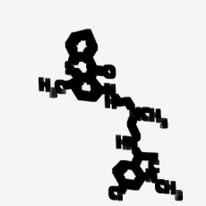 Cc1ccc(NCCN(C)CCNC2CCN(C)C3C=C(Cl)C=CC23)c2c(=O)c3ccccc3sc12